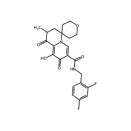 CN1CC2(CCOCC2)n2cc(C(=O)NCc3ccc(F)cc3F)c(=O)c(O)c2C1=O